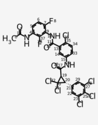 CC(=O)Nc1ccc(F)c(NC(=O)c2cc(NC(=O)C3[C@H](c4cc(Cl)c(Cl)c(Cl)c4)C3(Cl)Cl)ccc2Cl)c1F